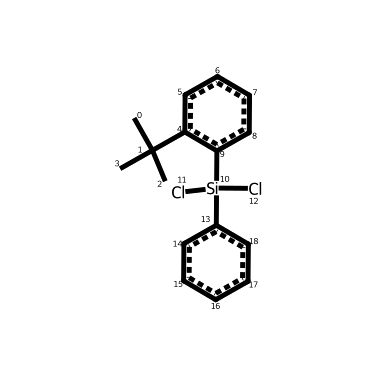 CC(C)(C)c1ccccc1[Si](Cl)(Cl)c1ccccc1